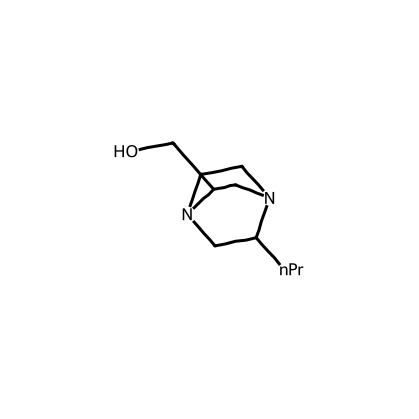 CCCC1CN2CCN1CC2CO